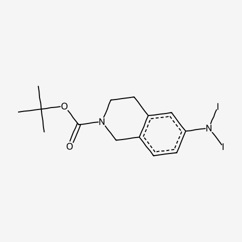 CC(C)(C)OC(=O)N1CCc2cc(N(I)I)ccc2C1